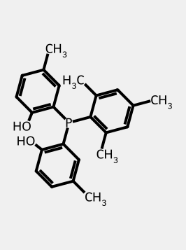 Cc1cc(C)c(P(c2cc(C)ccc2O)c2cc(C)ccc2O)c(C)c1